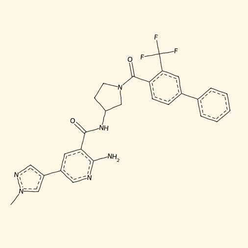 Cn1cc(-c2cnc(N)c(C(=O)NC3CCN(C(=O)c4ccc(-c5ccccc5)cc4C(F)(F)F)C3)c2)cn1